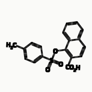 Cc1ccc(S(=O)(=O)Oc2c(C(=O)O)ccc3ccccc23)cc1